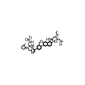 CC[C@H](C)N(Cc1nc2ccc3cc4c(cc3c2[nH]1)OCc1cc(-c2cnc(CN(C(=O)CNC(=O)OC)[C@H]3CCC[C@H]3C)[nH]2)ccc1-4)C(=O)CNC